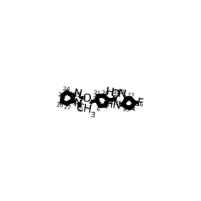 Cn1c(OCc2ccc(C(=O)Nc3ccc(F)cc3N)cc2)nc2ccccc21